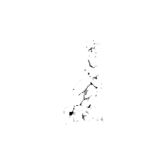 COCc1nn2c(C(F)(F)F)c(CN3CC(CC(F)(F)Cl)N(C)C3=O)nc2s1